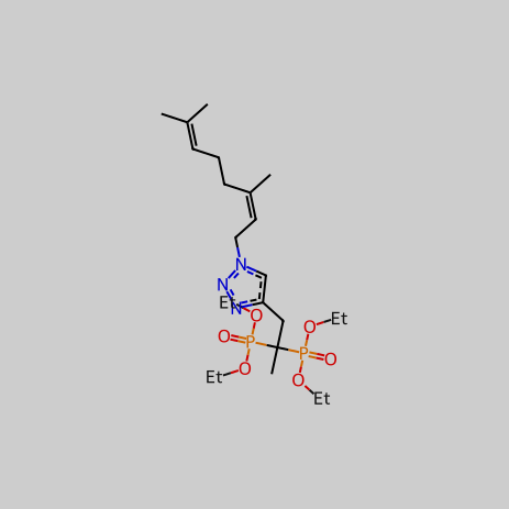 CCOP(=O)(OCC)C(C)(Cc1cn(CC=C(C)CCC=C(C)C)nn1)P(=O)(OCC)OCC